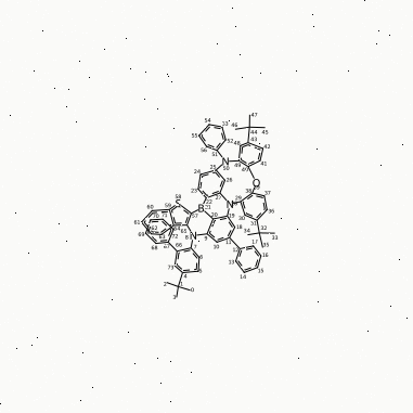 CC(C)(C)c1ccc(N2c3cc(-c4ccccc4)cc4c3B(c3ccc5cc3N4c3cc(C(C)(C)C)ccc3Oc3ccc(C(C)(C)C)cc3N5c3ccccc3)c3sc4ccccc4c32)c(-c2ccccc2)c1